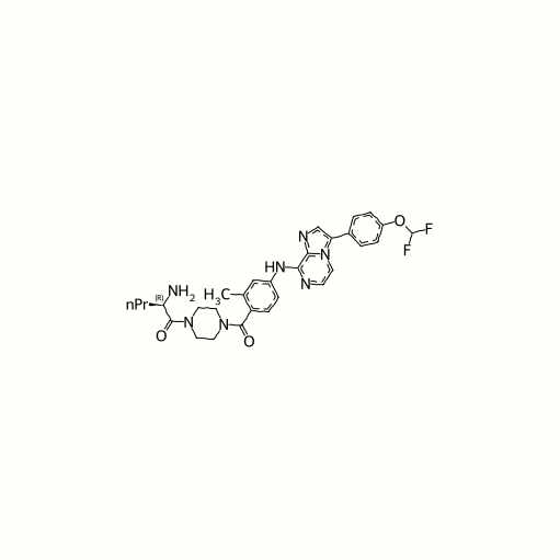 CCC[C@@H](N)C(=O)N1CCN(C(=O)c2ccc(Nc3nccn4c(-c5ccc(OC(F)F)cc5)cnc34)cc2C)CC1